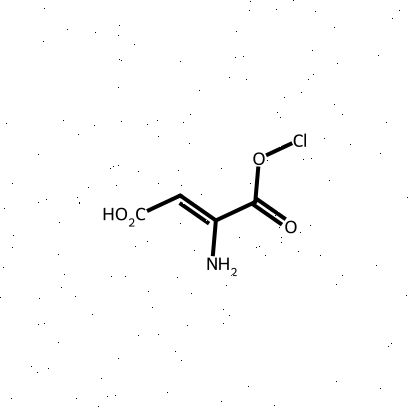 NC(=CC(=O)O)C(=O)OCl